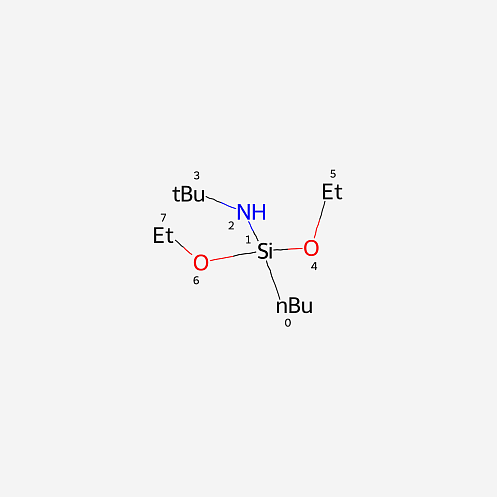 CCCC[Si](NC(C)(C)C)(OCC)OCC